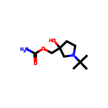 CC(C)(C)N1CCC(O)(COC(N)=O)C1